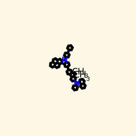 CC1(C)c2cc(-c3ccc4c(c3)c3c5ccc6cccc7ccc(cc3n4-c3ccc(-c4ccccc4)cc3)c5c76)ccc2-c2ccc(N(c3ccccc3)c3cccc4ccccc34)cc21